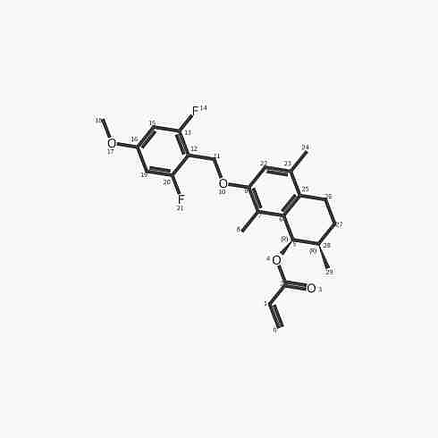 C=CC(=O)O[C@H]1c2c(C)c(OCc3c(F)cc(OC)cc3F)cc(C)c2CC[C@H]1C